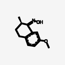 COc1ccc2c(c1)C(=NO)[C@H](C)CC2